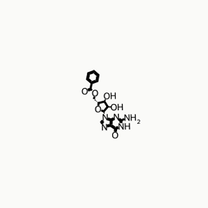 Nc1nc2c(ncn2[C@@H]2O[C@H](COC(=O)c3ccccc3)[C@@H](O)[C@H]2O)c(=O)[nH]1